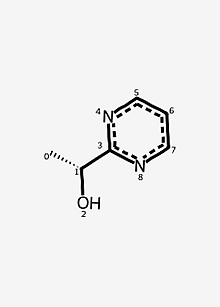 C[C@@H](O)c1ncccn1